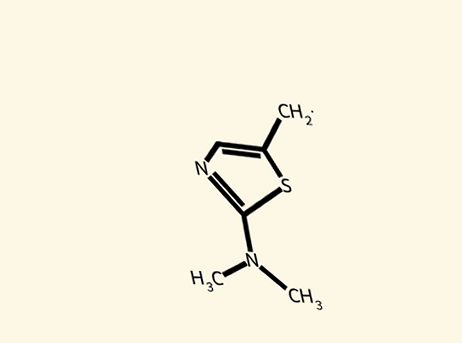 [CH2]c1cnc(N(C)C)s1